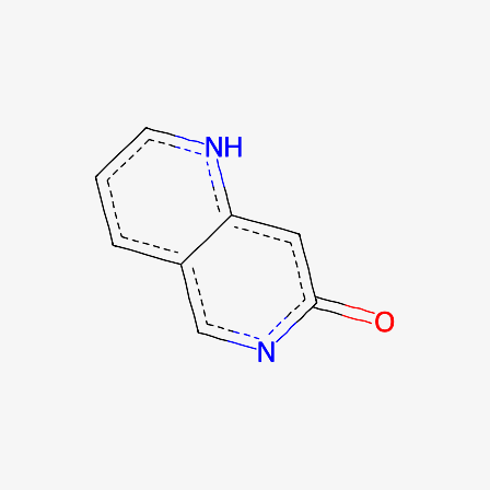 O=c1cc2[nH]cccc-2cn1